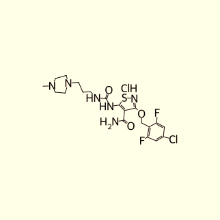 CN1CCN(CCCNC(=O)Nc2snc(OCc3c(F)cc(Cl)cc3F)c2C(N)=O)CC1.Cl